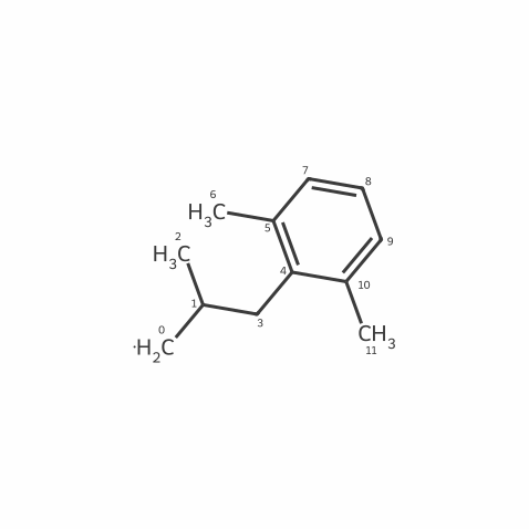 [CH2]C(C)Cc1c(C)cccc1C